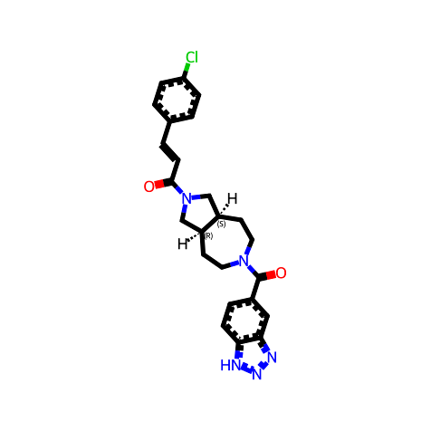 O=C(C=Cc1ccc(Cl)cc1)N1C[C@H]2CCN(C(=O)c3ccc4[nH]nnc4c3)CC[C@H]2C1